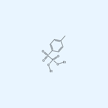 CCOP(=O)(OCC)S(=O)(=O)c1ccc(C)cc1